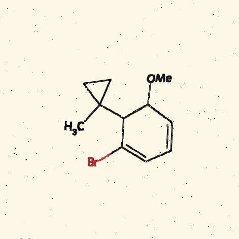 COC1C=CC=C(Br)C1C1(C)CC1